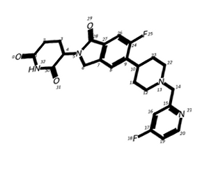 O=C1CCC(N2Cc3cc(C4CCN(Cc5cc(F)ccn5)CC4)c(F)cc3C2=O)C(=O)N1